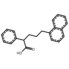 O=C(O)C(CCCc1cccc2ccccc12)c1ccccc1